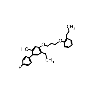 CCCc1[c]cccc1OCCCOc1cc(O)c(-c2ccc(F)cc2)cc1CC